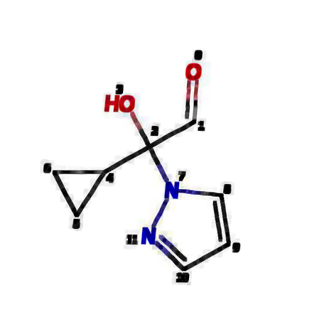 O=CC(O)(C1CC1)n1cccn1